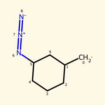 [CH2]C1CCCC(N=[N+]=[N-])C1